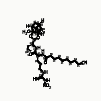 CC(C)C[C@H](NC(=O)[C@H](CCCNC(=N)N[N+](=O)[O-])NC(=O)CCCCCCCCC#N)B1O[C@@H]2C[C@@H]3C[C@@H](C3(C)C)[C@]2(C)O1